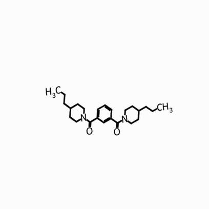 CCCC1CCN(C(=O)c2cccc(C(=O)N3CCC(CCC)CC3)c2)CC1